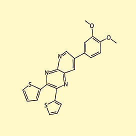 COc1ccc(-c2cnc3nc(-c4cccs4)c(-c4cccs4)nc3c2)cc1OC